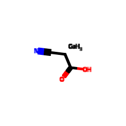 N#CCC(=O)O.[GaH3]